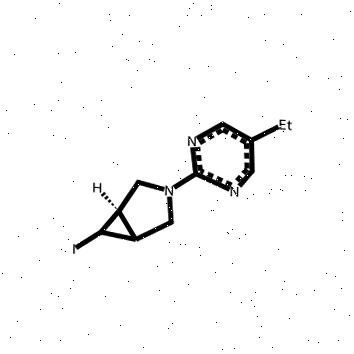 CCc1cnc(N2CC3C(I)[C@H]3C2)nc1